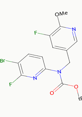 COc1ncc(CN(C(=O)OC(C)(C)C)c2ccc(Br)c(F)n2)cc1F